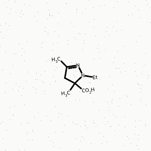 CCN1N=C(C)CC1(C)C(=O)O